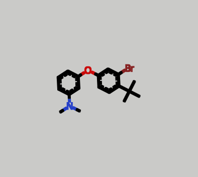 CN(C)c1cccc(Oc2ccc(C(C)(C)C)c(Br)c2)c1